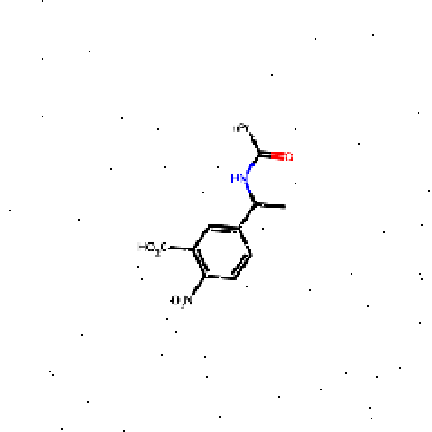 CCCC(=O)NC(C)c1ccc([N+](=O)[O-])c(C(=O)O)c1